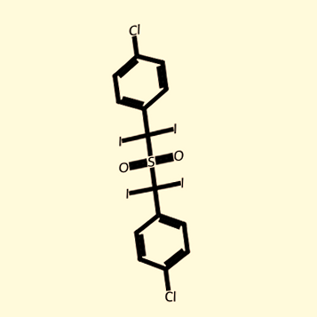 O=S(=O)(C(I)(I)c1ccc(Cl)cc1)C(I)(I)c1ccc(Cl)cc1